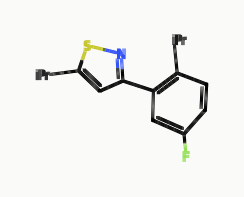 CC(C)c1cc(-c2cc(F)ccc2C(C)C)ns1